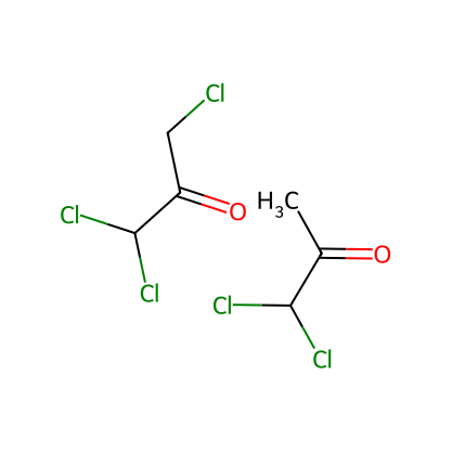 CC(=O)C(Cl)Cl.O=C(CCl)C(Cl)Cl